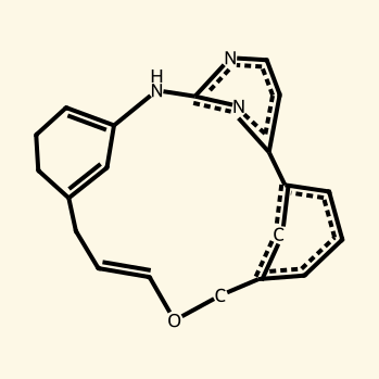 C1=C2C/C=C/OCc3cccc(c3)-c3ccnc(n3)NC1=CCC2